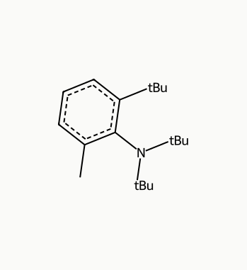 Cc1cccc(C(C)(C)C)c1N(C(C)(C)C)C(C)(C)C